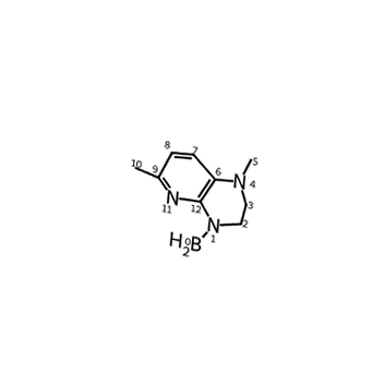 BN1CCN(C)c2ccc(C)nc21